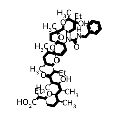 CCC(C(=O)[C@@H](C)[C@@H](O)[C@H](C)[C@@H]1O[C@@H]([C@@H](CC)C(=O)O)CC[C@@H]1C)[C@H]1O[C@]2(C=C[C@@H](NC(=O)NCc3ccccc3)[C@]3(CC[C@@](C)([C@H]4CC[C@](O)(CC)[C@H](C)O4)O3)O2)[C@H](C)C[C@@H]1C